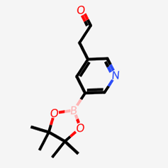 CC1(C)OB(c2cncc(CC=O)c2)OC1(C)C